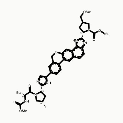 CCC(C)[C@@H](NC(=O)OC)C(=O)N1C[C@@H](C)C[C@H]1c1ncc(-c2ccc3c(c2)COc2cc4c(ccc5nc([C@@H]6CC(COC)CN6C(=O)OC(C)(C)C)[nH]c54)cc2-3)[nH]1